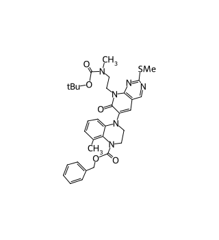 CSc1ncc2cc(N3CCN(C(=O)OCc4ccccc4)c4c(C)cccc43)c(=O)n(CCN(C)C(=O)OC(C)(C)C)c2n1